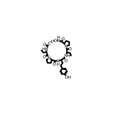 CCC1NC(=O)CCCNC(=O)C2CCCN2C(=O)C(CC)NC(=O)C(CCc2ccc(O)cc2)NC(=O)C2CCCN2C1=O